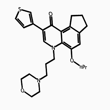 CCCOc1cc2c(c3c(=O)c(-c4ccsc4)cn(CCCN4CCOCC4)c13)CCC2